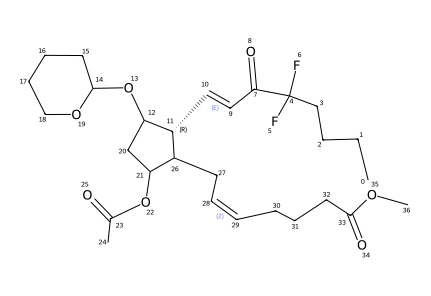 CCCCC(F)(F)C(=O)/C=C/[C@H]1C(OC2CCCCO2)CC(OC(C)=O)C1C/C=C\CCCC(=O)OC